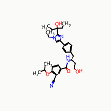 CCn1cc(-c2ccc(C[C@@H](CCO)NC(=O)c3ccc(OC(C)C)c(C#N)c3)cc2)nc1C(O)(CC)CC